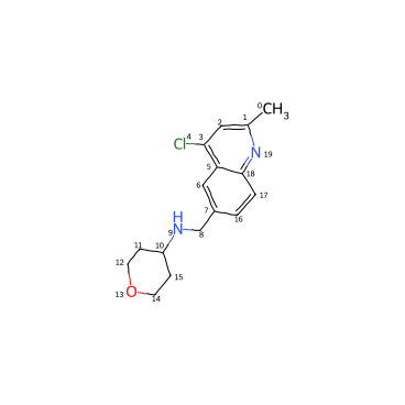 Cc1cc(Cl)c2cc(CNC3CCOCC3)ccc2n1